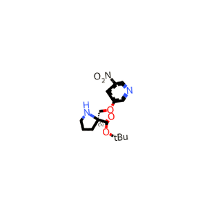 CC(C)(C)OC(=O)[C@@]1(COc2cncc([N+](=O)[O-])c2)CCCN1